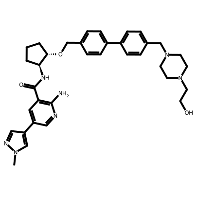 Cn1cc(-c2cnc(N)c(C(=O)N[C@H]3CCC[C@@H]3OCc3ccc(-c4ccc(CN5CCN(CCO)CC5)cc4)cc3)c2)cn1